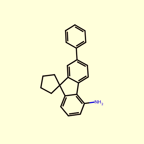 Nc1cccc2c1-c1ccc(-c3ccccc3)cc1C21CCCC1